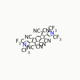 N#CC(C#N)=C1C(c2cc(C(F)(F)F)nc(C(F)(F)F)c2)=C(C#N)c2c1cc1c(c2C#N)C(=C(C#N)C#N)C(c2cc(C(F)(F)F)nc(C(F)(F)F)c2)=C1C#N